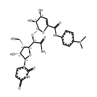 CN(C)c1ccc(NC(=O)C2=C[C@H](O)[C@H](O)[C@@H](O[C@@H](C(N)=O)[C@H]3O[C@@H](n4ccc(=O)[nH]c4=O)[C@H](O)[C@@H]3CO)O2)cc1